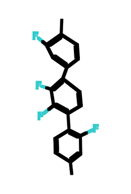 Cc1ccc(-c2ccc(-c3ccc(C)c(F)c3)c(F)c2F)c(F)c1